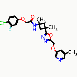 Cc1cncc(OCc2nnc(C3(C)CC(C)(NC(=O)COc4ccc(Cl)c(F)c4)C3)o2)c1